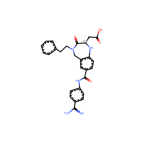 N=C(N)c1ccc(NC(=O)c2ccc3c(c2)CN(CCc2ccccc2)C(=O)[C@@H](CC(=O)O)N3)cc1